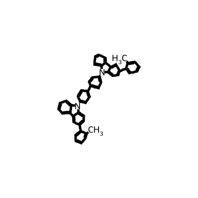 Cc1ccccc1-c1ccc2c(c1)c1ccccc1n2-c1ccc(-c2ccc(-n3c4ccccc4c4cc(-c5ccccc5C)ccc43)cc2)cc1